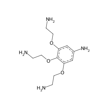 NCCOc1cc(N)cc(OCCN)c1OCCN